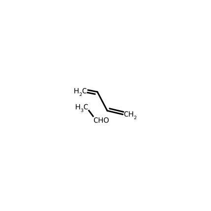 C=CC=C.CC=O